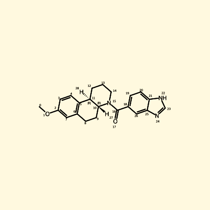 COc1ccc2c(c1)CC[C@@H]1[C@@H]2CCCN1C(=O)c1ccc2[nH]cnc2c1